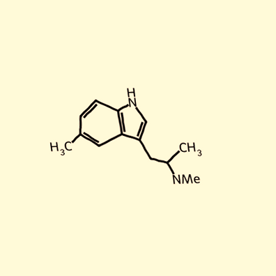 CNC(C)Cc1c[nH]c2ccc(C)cc12